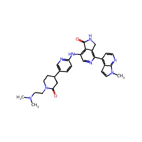 CN(C)CCN1CCC(c2ccc(Nc3cnc(-c4ccnc5c4ccn5C)c4c3C(=O)NC4)nc2)CC1=O